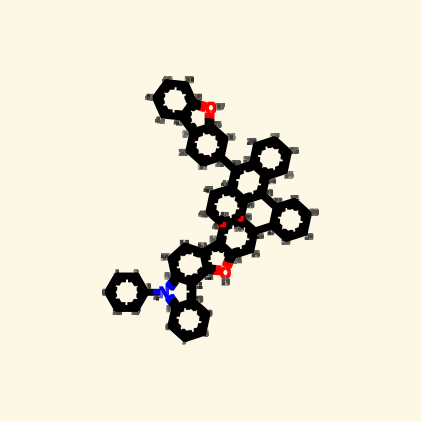 c1ccc(-n2c3ccccc3c3c4oc5cc(-c6ccccc6-c6c7ccccc7c(-c7ccc8c(c7)oc7ccccc78)c7ccccc67)ccc5c4ccc32)cc1